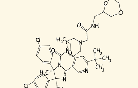 CCOc1cc(C(C)(C)C)ncc1C1=N[C@@](C)(c2ccc(Cl)cc2)[C@@](C)(c2ccc(Cl)cc2)N1C(=O)N1CCN(CC(=O)NCC2COCCO2)CC1